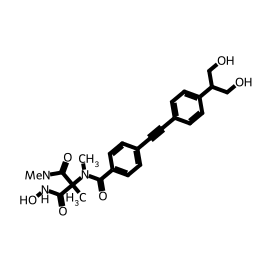 CNC(=O)C(C)(C(=O)NO)N(C)C(=O)c1ccc(C#Cc2ccc(C(CO)CO)cc2)cc1